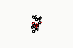 c1ccc(-c2nnc(-c3ccccc3)n2-c2cccc3c4ccccc4n(-c4cccc(-c5cccc(-n6c7ccccc7c7c8sc9ccccc9c8ccc76)c5)c4)c23)cc1